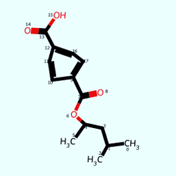 CC(C)CC(C)OC(=O)c1ccc(C(=O)O)cc1